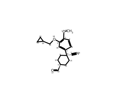 COc1ccc([C@]2(C#N)CC[C@H](C=O)CC2)cc1OCC1CC1